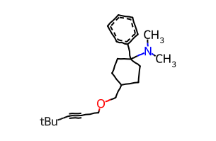 CN(C)C1(c2ccccc2)CCC(COCC#CC(C)(C)C)CC1